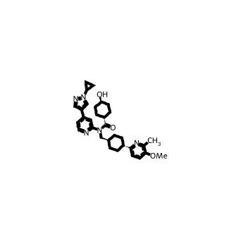 COc1ccc([C@H]2CC[C@H](CN(c3cc(-c4cnn(C5CC5)c4)ccn3)C(=O)[C@H]3CC[C@H](O)CC3)CC2)nc1C